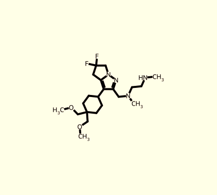 CNCCN(C)Cc1nn2c(c1C1CCC(COC)(COC)CC1)CC(F)(F)C2